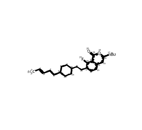 C/C=C/CCC1CCC(CCc2ccc3cc(CCCC)oc(=O)c3c2F)CC1